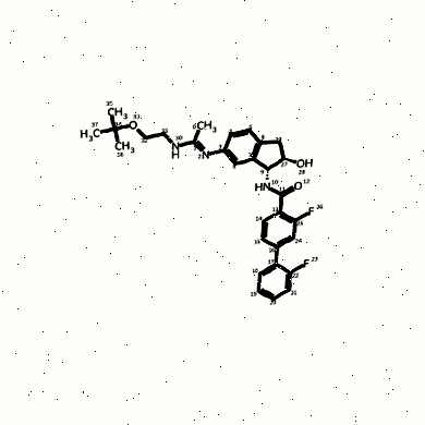 C/C(=N\c1ccc2c(c1)[C@@H](NC(=O)c1ccc(-c3ccccc3F)cc1F)[C@H](O)C2)NCCOC(C)(C)C